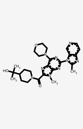 Cc1nc2ccncc2n1-c1nc(N2CCOCC2)c2nc(C(=O)N3CCC(C(C)(C)O)CC3)n(C)c2n1